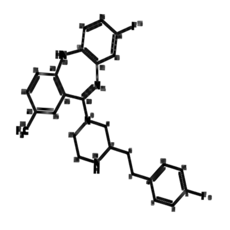 Fc1ccc(CCC2CN(C3=Nc4cc(F)ccc4Nc4ccc(C(F)(F)F)cc43)CCN2)cc1